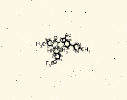 CC(=O)c1cn(CC(=O)N2C3C[C@]3(C)C[C@H]2C(=O)Nc2nc(OC(F)(F)F)ccc2C)c2c(C)cc(-c3cnc(C)nc3)cc12